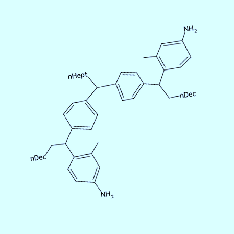 CCCCCCCCCCCC(c1ccc(C(CCCCCCC)c2ccc(C(CCCCCCCCCCC)c3ccc(N)cc3C)cc2)cc1)c1ccc(N)cc1C